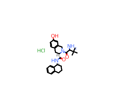 CC(C)(C)C(N)C(=O)N1Cc2cc(O)ccc2C[C@H]1C(=O)N[C@@H]1CCCc2ccccc21.Cl